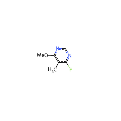 COc1ncnc(F)c1C